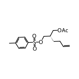 C=CCC[C@@H](COC(C)=O)COS(=O)(=O)c1ccc(C)cc1